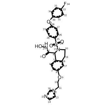 O=C(NO)C1c2ccc(OCCn3ccnc3)cc2CCN1S(=O)(=O)c1ccc(Oc2ccc(F)cc2)cc1